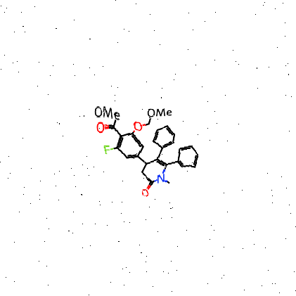 COCOc1cc(C2CC(=O)N(C)C(c3ccccc3)=C2c2ccccc2)cc(F)c1C(=O)OC